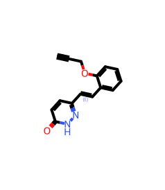 C#CCOc1ccccc1/C=C/c1ccc(=O)[nH]n1